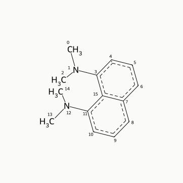 CN(C)c1[c]ccc2cccc(N(C)C)c12